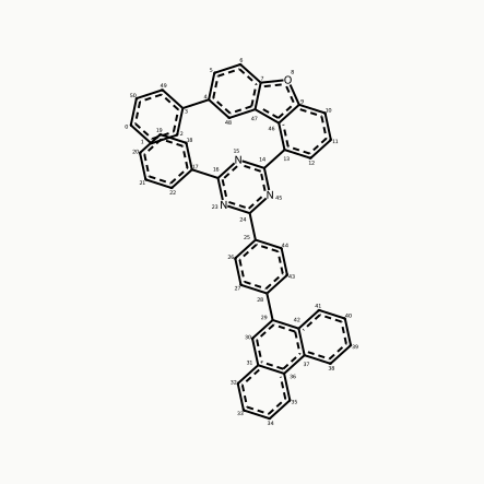 c1ccc(-c2ccc3oc4cccc(-c5nc(-c6ccccc6)nc(-c6ccc(-c7cc8ccccc8c8ccccc78)cc6)n5)c4c3c2)cc1